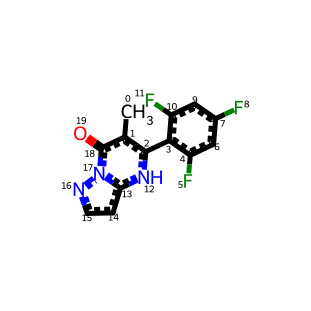 Cc1c(-c2c(F)cc(F)cc2F)[nH]c2ccnn2c1=O